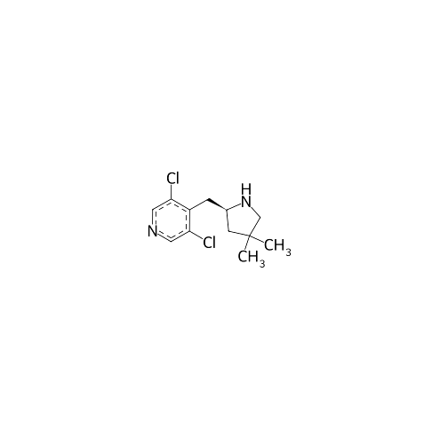 CC1(C)CN[C@H](Cc2c(Cl)cncc2Cl)C1